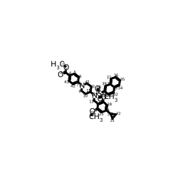 COC(=O)c1ccc(N2CCC(N(Cc3c(OC)cc(C4CC4)cc3OC)S(=O)(=O)c3ccc4ccccc4c3)CC2)cc1